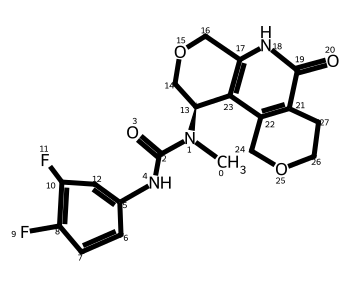 CN(C(=O)Nc1ccc(F)c(F)c1)[C@H]1COCc2[nH]c(=O)c3c(c21)COCC3